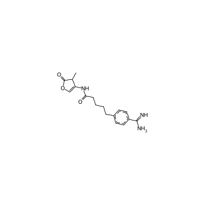 CC1C(=O)OC=C1NC(=O)CCCCc1ccc(C(=N)N)cc1